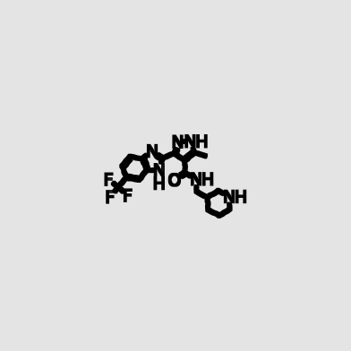 Cc1[nH]nc(-c2nc3ccc(C(F)(F)F)cc3[nH]2)c1C(=O)NCC1CCCNC1